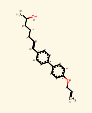 C=CCOc1ccc(-c2ccc(C=CCCCC(C)O)cc2)cc1